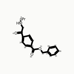 CCCNCC(=O)c1ccc(C(=O)OCc2ccccc2)cc1